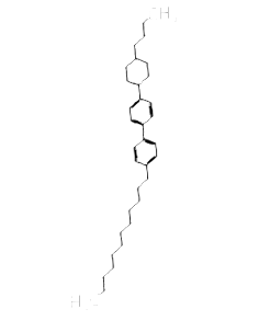 CCCCCCCCCCCCc1ccc(-c2ccc(C3CCC(CCCC)CC3)cc2)cc1